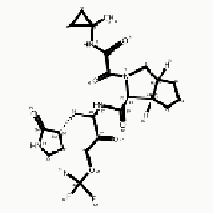 CC1(NC(=O)C(=O)N2C[C@@H]3CCC[C@@H]3[C@H]2C(=O)NC(C[C@@H]2CCNC2=O)C(=O)COC(F)(F)F)CC1